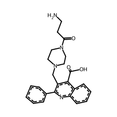 NCCC(=O)N1CCN(Cc2c(-c3ccccc3)nc3ccccc3c2C(=O)O)CC1